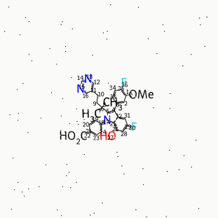 COc1cc(-c2c(C(C)(C)CCc3cncnc3)n(-c3ccc(C(=O)O)cc3)c3c(O)cc(F)cc23)ccc1F